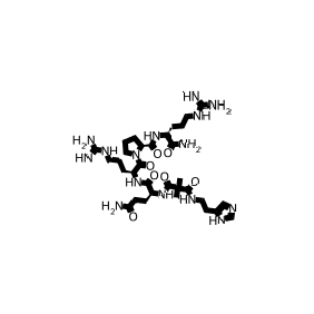 CC(C)(C(=O)NCCc1cnc[nH]1)C(=O)N[C@@H](CCC(N)=O)C(=O)N[C@@H](CCCNC(=N)N)C(=O)N1CCC[C@H]1C(=O)N[C@H](CCCNC(=N)N)C(N)=O